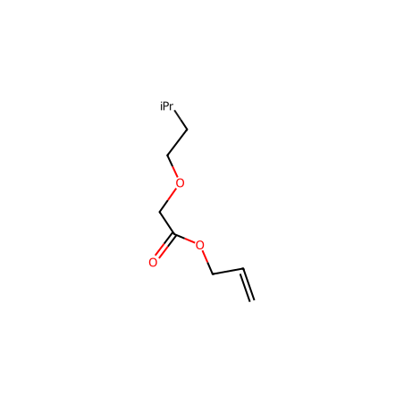 C=CCOC(=O)COCCC(C)C